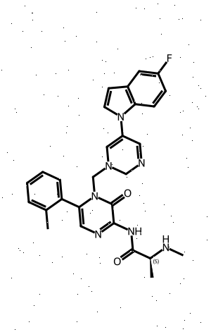 CN[C@@H](C)C(=O)Nc1ncc(-c2ccccc2C)n(CN2C=C(n3ccc4cc(F)ccc43)C=NC2)c1=O